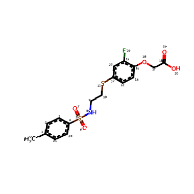 Cc1ccc(S(=O)(=O)NCCSc2ccc(OCC(=O)O)c(F)c2)cc1